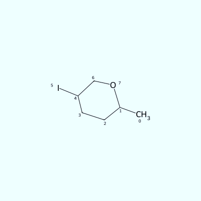 CC1CCC(I)CO1